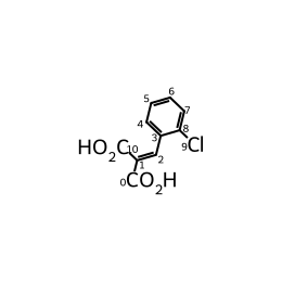 O=C(O)C(=Cc1ccccc1Cl)C(=O)O